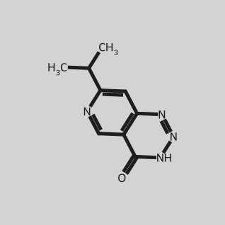 CC(C)c1cc2nn[nH]c(=O)c2cn1